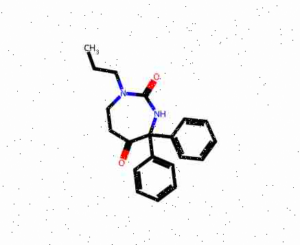 CCCN1CCC(=O)C(c2ccccc2)(c2ccccc2)NC1=O